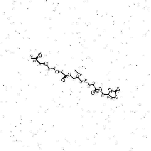 COC(COC(=O)COCCOCC(C)=O)CSCCC(=O)OCC1CSC(=S)O1